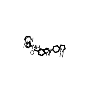 O=C(Nc1cnn2cccnc12)c1ccc2nn(C3CCC4(CCCN4)CC3)cc2c1